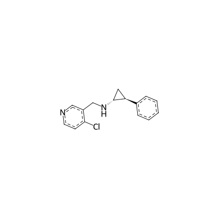 Clc1ccncc1CN[C@@H]1C[C@H]1c1ccccc1